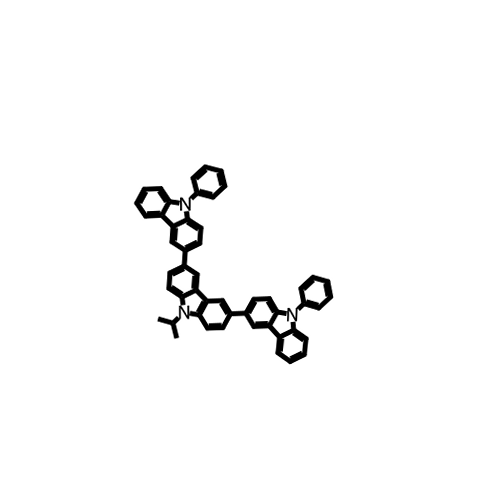 CC(C)n1c2ccc(-c3ccc4c(c3)c3ccccc3n4-c3ccccc3)cc2c2cc(-c3ccc4c(c3)c3ccccc3n4-c3ccccc3)ccc21